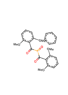 COc1cccc(OC)c1C(=O)[P](=O)C(=O)c1c(OC)cccc1OC.c1ccccc1